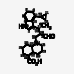 C[C@@H](c1c[nH]c2cccc(C3CC3)c12)C(C=O)CN1CCCC2C(C(=O)O)CCCC21